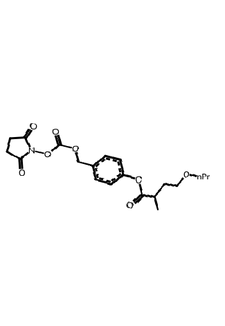 CCCOCCC(C)C(=O)Oc1ccc(COC(=O)ON2C(=O)CCC2=O)cc1